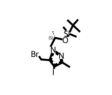 Cc1nn(C[C@H](C)O[Si](C)(C)C(C)(C)C)c(CBr)c1I